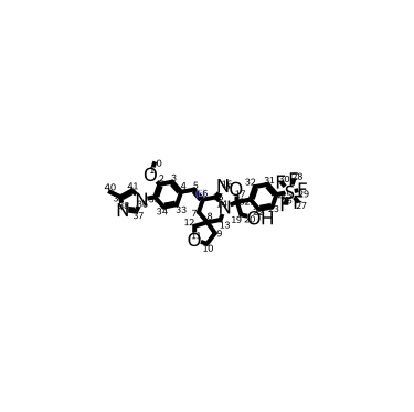 COc1cc(/C=C2\CC3(CCOC3)CN3C2=NOC3(CO)c2ccc(S(F)(F)(F)(F)F)cc2)ccc1-n1cnc(C)c1